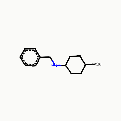 CC(C)(C)C1CCC(NCc2ccccc2)CC1